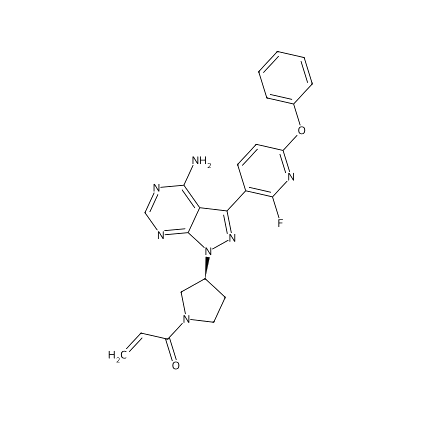 C=CC(=O)N1CC[C@H](n2nc(-c3ccc(Oc4ccccc4)nc3F)c3c(N)ncnc32)C1